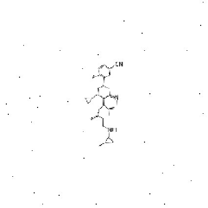 C=C(CCNC1CC1C)C/C(C(=C)C)=C(C(=C/C(C)c1cc(C#N)ccc1C)\C1CC1)/C(C)=N\C